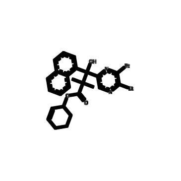 CCc1ncc(C(O)(c2cccc3ccccc23)C(C)(C)C(=O)OC2C=CCCC2)nc1CC